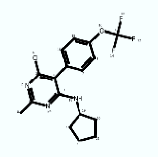 Cc1nc(Cl)c(-c2ccc(OC(F)(F)F)cc2)c(NC2CCCC2)n1